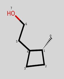 C[C@@H]1CCC1CCO